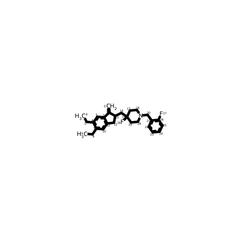 C=C1c2cc(CC)c(CC)cc2CC1CC1(F)CCN(Cc2ccccc2F)CC1